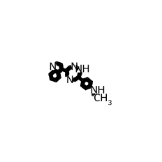 CCNc1ccc(-c2cncc(-c3ccnc4ccccc34)cn[nH]c2)cc1